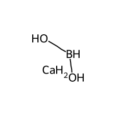 OBO.[CaH2]